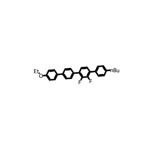 CCCCc1ccc(-c2ccc(-c3ccc(-c4ccc(OCC)cc4)cc3)c(F)c2F)cc1